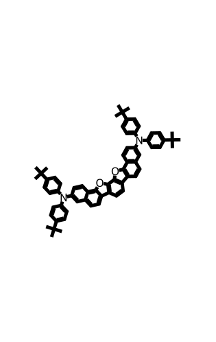 CC(C)(C)c1ccc(N(c2ccc(C(C)(C)C)cc2)c2ccc3c(ccc4c5ccc6c7ccc8cc(N(c9ccc(C(C)(C)C)cc9)c9ccc(C(C)(C)C)cc9)ccc8c7oc6c5oc34)c2)cc1